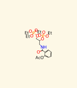 CCOP(=O)(OCC)OCC(CNC(=O)c1ccccc1OC(C)=O)OP(=O)(OCC)OCC